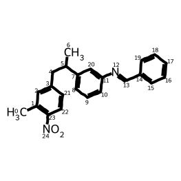 Cc1cc(CC(C)c2cccc(/N=C/c3ccccc3)c2)ccc1[N+](=O)[O-]